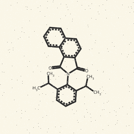 CC(C)c1cccc(C(C)C)c1N1C(=O)c2ccc3ccccc3c2C1=O